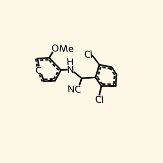 COc1ccccc1NC(C#N)c1c(Cl)cccc1Cl